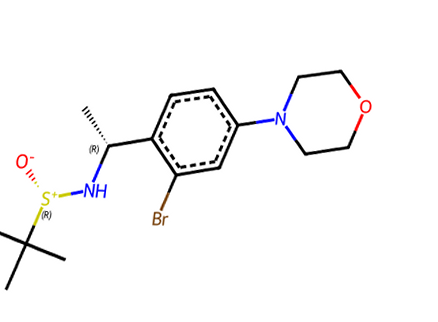 C[C@@H](N[S@@+]([O-])C(C)(C)C)c1ccc(N2CCOCC2)cc1Br